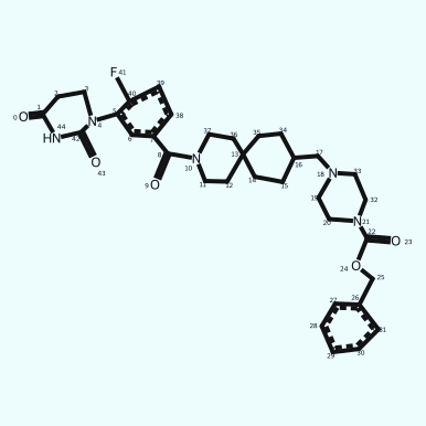 O=C1CCN(c2cc(C(=O)N3CCC4(CCC(CN5CCN(C(=O)OCc6ccccc6)CC5)CC4)CC3)ccc2F)C(=O)N1